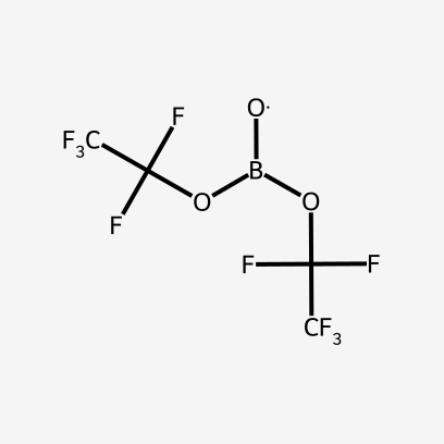 [O]B(OC(F)(F)C(F)(F)F)OC(F)(F)C(F)(F)F